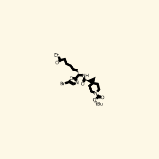 CCC(=O)CCCCC[C@H](NC(=O)[C@H]1CC12CCN(C(=O)OC(C)(C)C)CC2)c1ncc(Br)o1